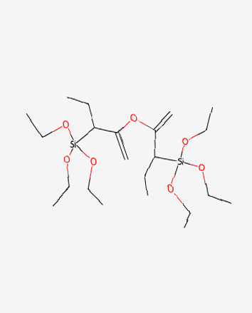 C=C(OC(=C)C(CC)[Si](OCC)(OCC)OCC)C(CC)[Si](OCC)(OCC)OCC